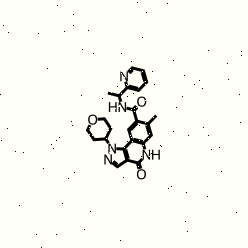 Cc1cc2[nH]c(=O)c3cnn(C4CCOCC4)c3c2cc1C(=O)NC(C)c1ccccn1